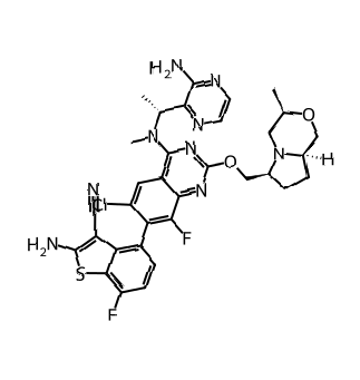 C[C@@H]1CN2[C@H](CC[C@H]2COc2nc(N(C)[C@H](C)c3nccnc3N)c3cc(Cl)c(-c4ccc(F)c5sc(N)c(C#N)c45)c(F)c3n2)CO1